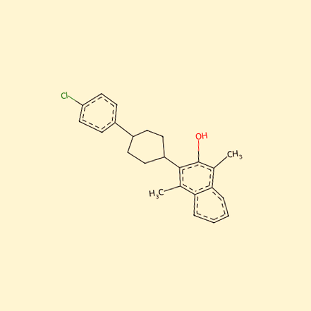 Cc1c(O)c(C2CCC(c3ccc(Cl)cc3)CC2)c(C)c2ccccc12